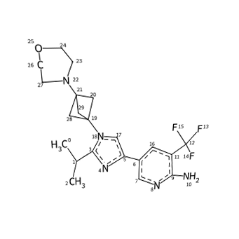 CC(C)c1nc(-c2cnc(N)c(C(F)(F)F)c2)cn1C12CC(N3CCOCC3)(C1)C2